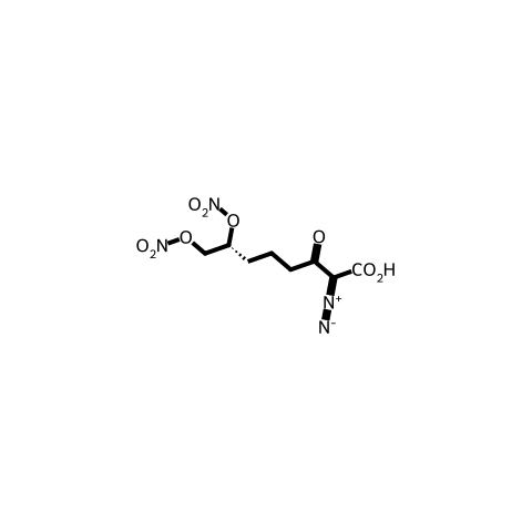 [N-]=[N+]=C(C(=O)O)C(=O)CCC[C@H](CO[N+](=O)[O-])O[N+](=O)[O-]